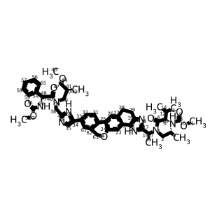 CCCN(C(=O)[C@@H](NC(=O)OC)C(C)C)[C@@H](C)c1nc2c([nH]1)-c1cc3c(cc1CC2)-c1ccc(-c2cnc(CN(C[C@H](C)COC)C(=O)[C@H](NC(=O)OC)c4ccccc4)[nH]2)cc1CO3